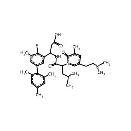 Cc1cc(C)c(-c2cc(C)c(F)c(C(CC(=O)O)NC(=O)C(CC(C)C)n3cc(CCN(C)C)cc(C)c3=O)c2)c(C)c1